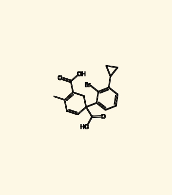 CC1=C(C(=O)O)CC(C(=O)O)(c2cccc(C3CC3)c2Br)C=C1